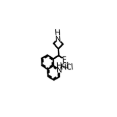 Cl.Cl.FC(c1cccc2cccnc12)C1CNC1